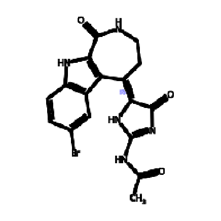 CC(=O)NC1=NC(=O)/C(=C2\CCNC(=O)c3[nH]c4ccc(Br)cc4c32)N1